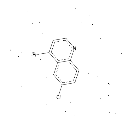 CC(C)c1ccnc2ccc(Cl)cc12